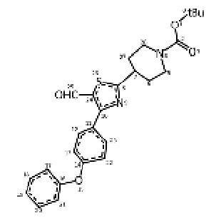 CC(C)(C)OC(=O)N1CCC(c2nc(-c3ccc(Oc4ccccc4)cc3)c(C=O)s2)CC1